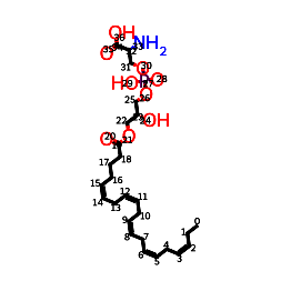 CC/C=C\C/C=C\C/C=C\C/C=C\C/C=C\CCCC(=O)OC[C@@H](O)COP(=O)(O)OC[C@H](N)C(=O)O